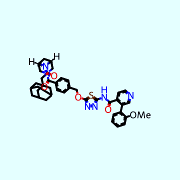 COc1ccccc1-c1cnccc1C(=O)Nc1nnc(OCc2ccc(C(=O)N3C[C@H]4C[C@@H](C3)N4C(=O)CC34CC5CC(CC(C5)C3)C4)cc2)s1